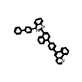 c1ccc(-c2ccc(-c3nc(-c4ccc(-c5ccc(-c6cc7cccnc7c7ccccc67)cc5)c5ccccc45)nc4ccccc34)cc2)cc1